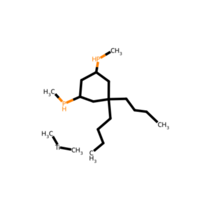 CCCCC1(CCCC)CC(PC)CC(PC)C1.[CH3][Ti][CH3]